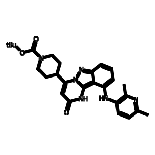 Cc1ccc(Nc2cccc3nn4c(C5CCN(C(=O)OC(C)(C)C)CC5)cc(=O)[nH]c4c23)c(C)n1